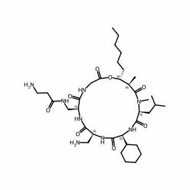 CCCCCC[C@H]1OC(=O)CNC(=O)[C@H](CNC(=O)CCN)NC(=O)[C@H](CN)NC(=O)[C@H](C2CCCCC2)NC(=O)[C@H](CC(C)C)N(C)C(=O)[C@@H]1C